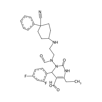 CCC1=C(C(=O)O)C(c2ccc(F)cc2F)N(N(C=O)CCNC2CCC(C#N)(c3ccccc3)CC2)C(=O)N1